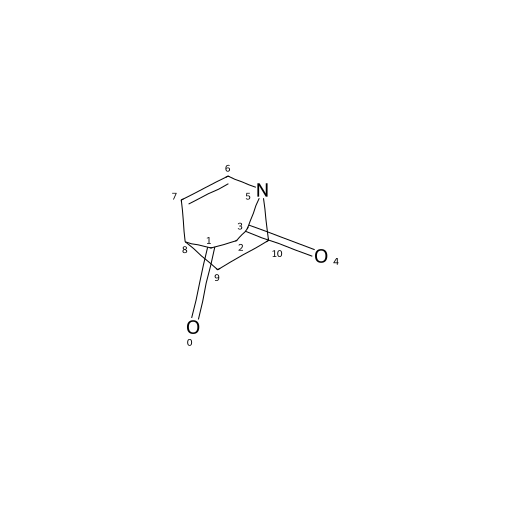 O=C1CC(=O)N2C=CC1CC2